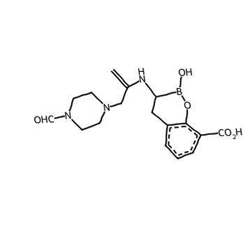 C=C(CN1CCN(C=O)CC1)NC1Cc2cccc(C(=O)O)c2OB1O